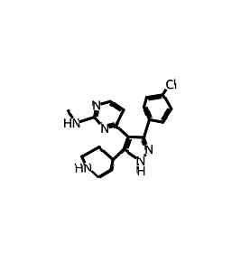 CNc1nccc(-c2c(-c3ccc(Cl)cc3)n[nH]c2C2CCNCC2)n1